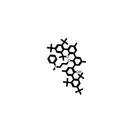 Cc1cc(-c2cc(C)cc(-c3cc(C)cc4c3OC(C)(C)c3cc(C(C)(C)C)cc(C(C)(C)C)c3-4)c2OCCCN(C)c2ccccc2)c(O)c(-c2c(C(C)(C)C)cc(C(C)(C)C)cc2C(C)(C)C)c1